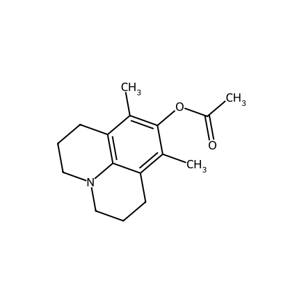 CC(=O)Oc1c(C)c2c3c(c1C)CCCN3CCC2